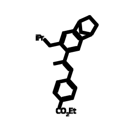 CCOC(=O)c1ccc(C=C(C)c2cc3c(cc2CC(C)C)C2CCC3C2)cc1